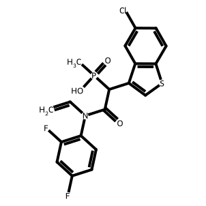 C=CN(C(=O)C(c1csc2ccc(Cl)cc12)P(C)(=O)O)c1ccc(F)cc1F